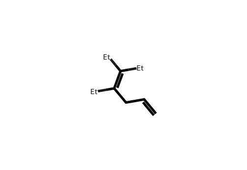 C=CCC(CC)=C(CC)CC